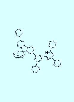 c1ccc(-c2ccc3c(c2)-c2ccc(-c4cc(-c5ccccn5)cc(-c5nc(-c6ccccc6)nc(-c6ccccc6)n5)c4)cc2C32C3CC4CC(C3)CC2C4)cc1